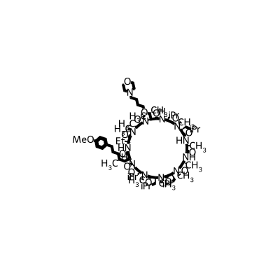 CC[C@@H]1NC(=O)[C@@H]2[C@@H]([C@H](C)CCCc3ccc(OC)cc3)ON2C(=O)[C@H](C(C)C)N(C)C(=O)[C@H](CC(C)C)N(C)C(=O)[C@H](CC(C)C)N(C)C(=O)[C@@H](C)NC(=O)[C@H](C)NC(=O)[C@H](CC(C)C)N(C)C(=O)[C@H](C(C)C)NC(=O)[C@H]([C@@H](C)OCCCCN2CCOCC2)N(C)C(=O)[C@@H](C)N(C)C1=O